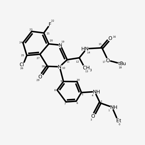 CCNC(=O)Nc1cccc(-n2c(C(C)NC(=O)OC(C)(C)C)nc3c(F)ccc(Cl)c3c2=O)c1